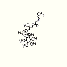 CC/C=C\CC(=O)OCC(O)COP(C)(=O)OC1C(O)C(O)C(O)C(O)C1O